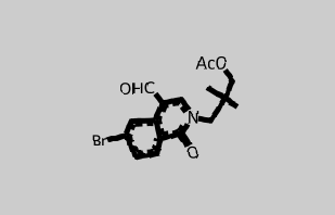 CC(=O)OCC(C)(C)Cn1cc(C=O)c2cc(Br)ccc2c1=O